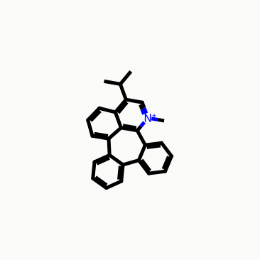 CC(C)c1c[n+](C)c2c3c(cccc13)-c1ccccc1-c1ccccc1-2